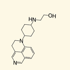 OCCNC1CCC(N2CCc3cncc4cccc2c34)CC1